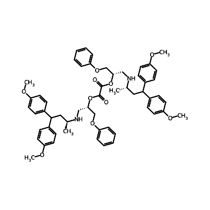 COc1ccc(C(C[C@H](C)NC[C@@H](COc2ccccc2)OC(=O)C(=O)O[C@@H](CN[C@@H](C)CC(c2ccc(OC)cc2)c2ccc(OC)cc2)COc2ccccc2)c2ccc(OC)cc2)cc1